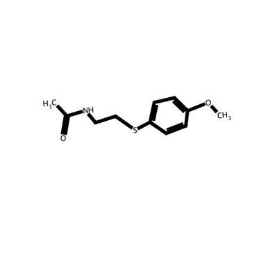 COc1ccc(SCCNC(C)=O)cc1